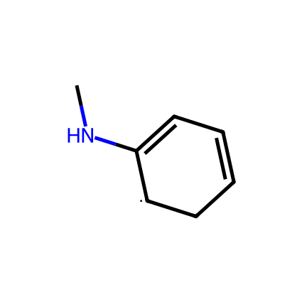 CNC1=CC=CC[CH]1